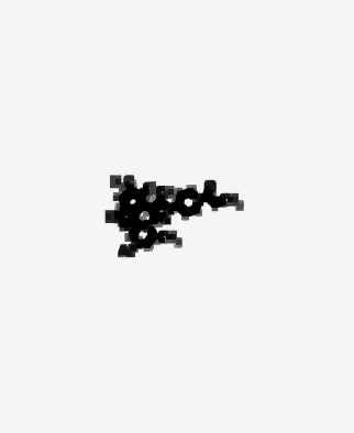 C=CC(=O)N1CCC(n2nc(N3[C@H](C)CN(C(C)=O)C[C@@H]3C)c(-c3c(Cl)c(C)cc4[nH]ncc34)c2C)CC1